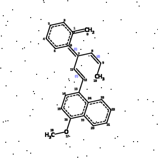 C=c1cccc/c1=C(/C=C\C)\C=C\c1ccc(OC)c2ccccc12